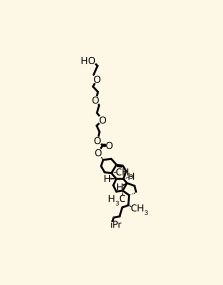 CC(C)CCC[C@@H](C)[C@H]1CC[C@H]2[C@@H]3CC=C4C[C@@H](OC(=O)OCCOCCOCCOCCO)CC[C@]4(C)[C@H]3CC[C@]12C